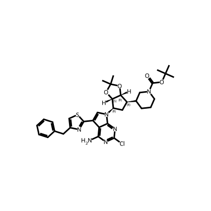 CC(C)(C)OC(=O)N1CCCC([C@H]2C[C@@H](n3cc(-c4nc(Cc5ccccc5)cs4)c4c(N)nc(Cl)nc43)[C@@H]3OC(C)(C)O[C@@H]32)C1